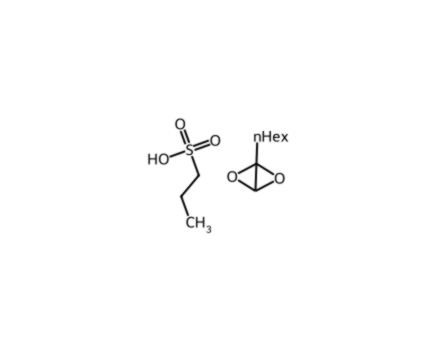 CCCCCCC12OC1O2.CCCS(=O)(=O)O